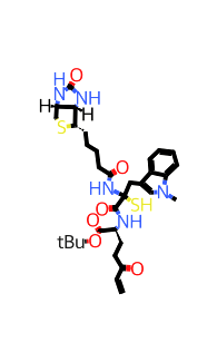 C=CC(=O)CC[C@H](NC(=O)C(S)(Cc1cn(C)c2ccccc12)NC(=O)CCCC[C@@H]1SC[C@@H]2NC(=O)N[C@@H]21)C(=O)OC(C)(C)C